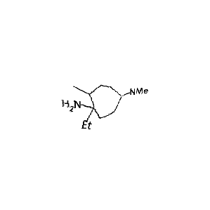 CCC1(N)CCC(NC)CCC1C